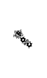 O=C(Nc1ccc(S(=O)(=O)c2ccccn2)cc1)C(O)(C(F)(F)F)C(F)(F)F